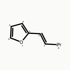 CC(C)C=Cc1ccco1